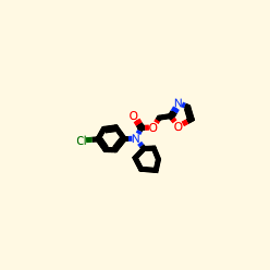 O=C(OCc1ncco1)N(c1ccc(Cl)cc1)C1CCCCC1